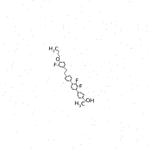 C=CCCOc1ccc(CCc2ccc(-c3ccc(-c4ccc(C(C)O)cc4)c(F)c3F)cc2)cc1F